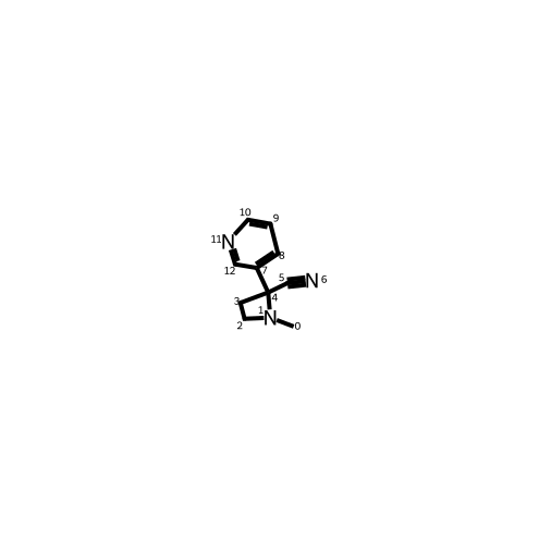 CN1CCC1(C#N)c1cccnc1